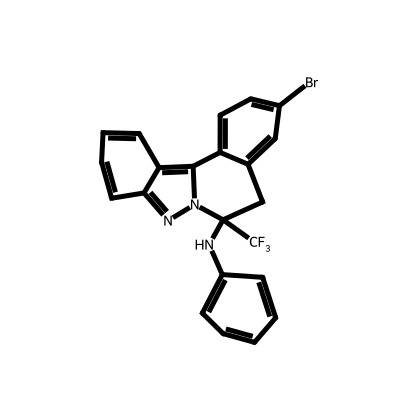 FC(F)(F)C1(Nc2ccccc2)Cc2cc(Br)ccc2-c2c3ccccc3nn21